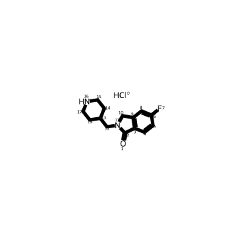 Cl.O=C1c2ccc(F)cc2CN1CC1CCNCC1